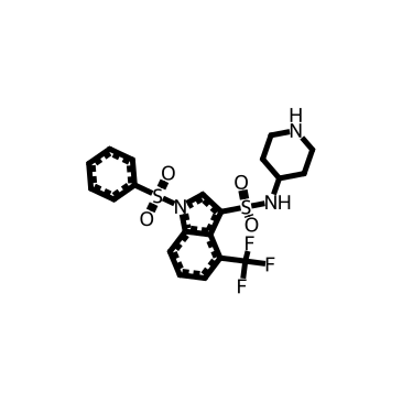 O=S(=O)(NC1CCNCC1)c1cn(S(=O)(=O)c2ccccc2)c2cccc(C(F)(F)F)c12